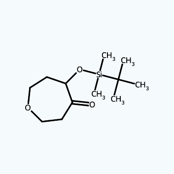 CC(C)(C)[Si](C)(C)OC1CCOCCC1=O